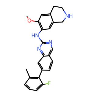 COc1cc2c(cc1Nc1ncc3ccc(-c4c(C)cccc4F)cc3n1)CNCC2